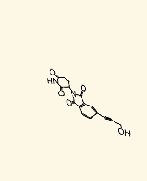 O=C1CCC(N2C(=O)c3ccc(C#CCO)cc3C2=O)C(=O)N1